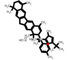 Cl.Cl.[CH2]=[Zr]([CH3])([C]1=CC(C(C)(C)C)=CC1C)([c]1ccc(C)cc1)[CH]1C=C(C)c2cc3c(cc2C1(C)C)Cc1cc2c(cc1-3)C(C)=CCC2(C)C